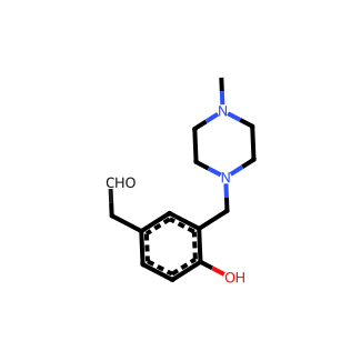 CN1CCN(Cc2cc(CC=O)ccc2O)CC1